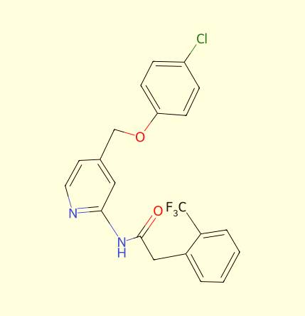 O=C(Cc1ccccc1C(F)(F)F)Nc1cc(COc2ccc(Cl)cc2)ccn1